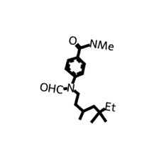 CCC(C)(C)CC(C)CCN(C=O)c1ccc(C(=O)NC)cc1